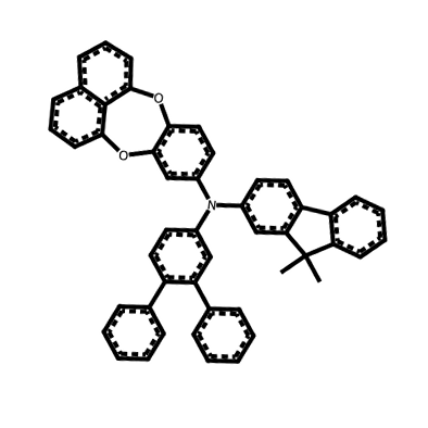 CC1(C)c2ccccc2-c2ccc(N(c3ccc4c(c3)Oc3cccc5cccc(c35)O4)c3ccc(-c4ccccc4)c(-c4ccccc4)c3)cc21